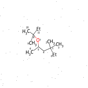 CCC(C)(C)CC(C)OC(C)(C)CC